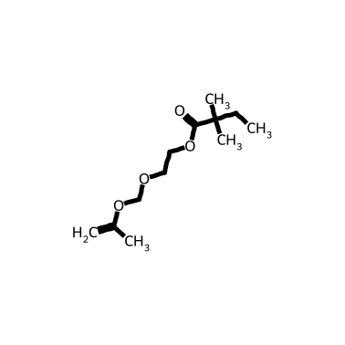 C=C(C)OCOCCOC(=O)C(C)(C)CC